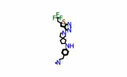 C=NCCc1ccc(NC2CCC3(CCN(c4ncnc5sc(CC(F)(F)F)cc45)C3)C2)cc1